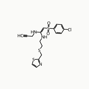 C#CCN/C(=C/S(=O)(=O)c1ccc(Cl)cc1)NCCSCc1nccs1